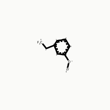 FC(F)(F)Cc1cccc([O][Zr])c1